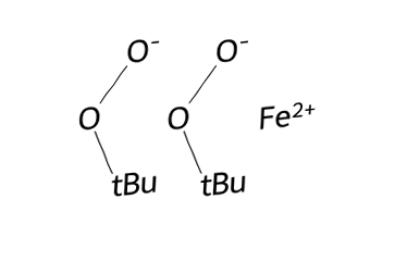 CC(C)(C)O[O-].CC(C)(C)O[O-].[Fe+2]